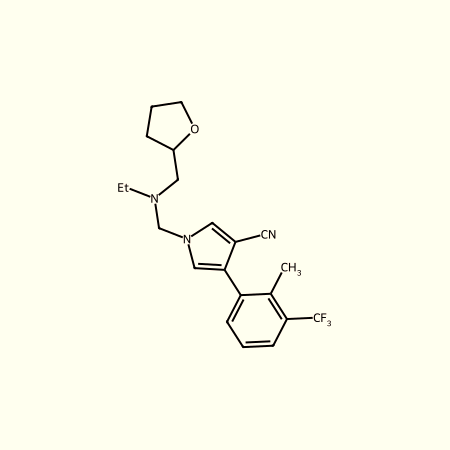 CCN(CC1CCCO1)Cn1cc(C#N)c(-c2cccc(C(F)(F)F)c2C)c1